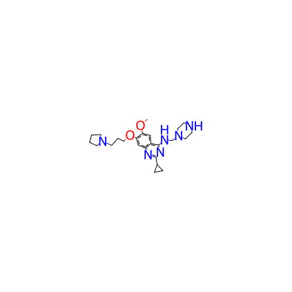 COc1cc2c(NCN3CCNCC3)nc(C3CC3)nc2cc1OCCCN1CCCC1